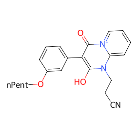 CCCCCOc1cccc(-c2c(O)n(CCC#N)c3cccc[n+]3c2=O)c1